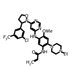 C=CC(=O)Nc1cc(Nc2cc(N3OCCC3c3cc(Cl)cc(C(F)(F)F)c3)ncn2)c(OC)cc1N1CCN(CC)CC1